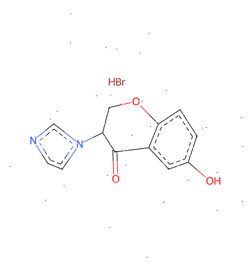 Br.O=C1c2cc(O)ccc2OCC1n1ccnc1